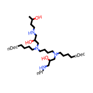 CCCCCCCCCCCCCCN(CCCCN(CCCCCCCCCCCCCC)CC(O)CNCCC(C)O)CC(O)CNCCC